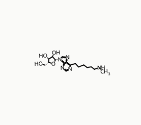 CNCCCCCCc1ncnc2c1ncn2[C@@H]1O[C@H](CO)[C@@H](O)[C@H]1O